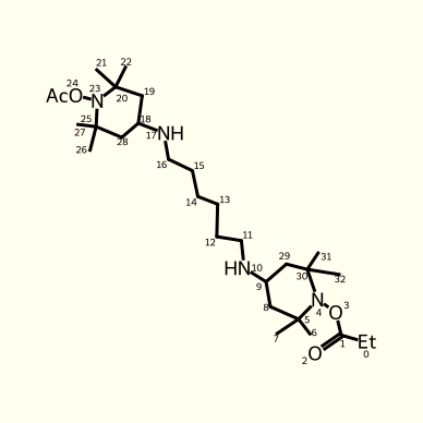 CCC(=O)ON1C(C)(C)CC(NCCCCCCNC2CC(C)(C)N(OC(C)=O)C(C)(C)C2)CC1(C)C